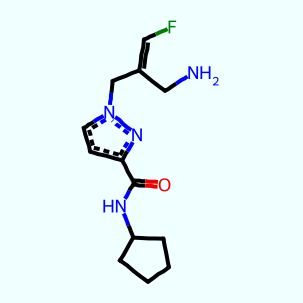 NC/C(=C\F)Cn1ccc(C(=O)NC2CCCC2)n1